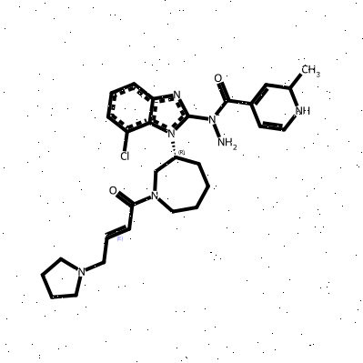 CC1C=C(C(=O)N(N)c2nc3cccc(Cl)c3n2[C@@H]2CCCCN(C(=O)/C=C/CN3CCCC3)C2)C=CN1